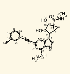 CNC(=O)[C@]12CC1[C@@H](n1cnc3c(NC)nc(C#Cc4cccc(F)c4)nc31)C(O)[C@@H]2O